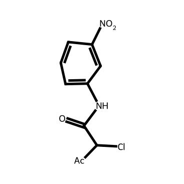 CC(=O)C(Cl)C(=O)Nc1cccc([N+](=O)[O-])c1